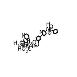 CC(C)(C)[Si](C)(C)O[C@H](CN(C[C@H]1CCc2cc(-c3ccc(NS(=O)(=O)c4ccccc4)cn3)ccc2O1)C(=O)O)c1cccnc1